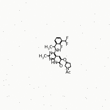 CC(=O)N1CC[C@H](Oc2cc3c(NC(C)c4cccc(C(F)F)c4F)nc(C)nc3[nH]c2=O)C1